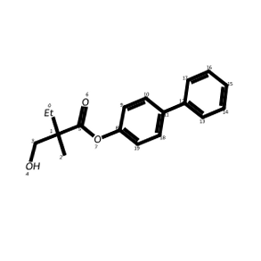 CCC(C)(CO)C(=O)Oc1ccc(-c2ccccc2)cc1